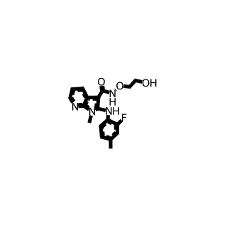 Cc1ccc(Nc2c(C(=O)NOCCO)c3cccnc3n2C)c(F)c1